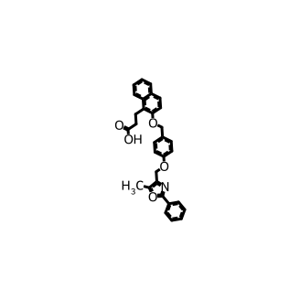 Cc1oc(-c2ccccc2)nc1COc1ccc(COc2ccc3ccccc3c2CCC(=O)O)cc1